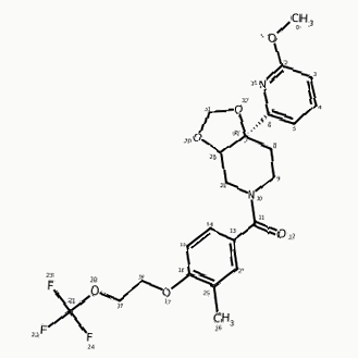 COc1cccc([C@]23CCN(C(=O)c4ccc(OCCOC(F)(F)F)c(C)c4)CC2OCO3)n1